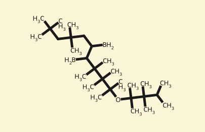 BC(CC(C)(C)CC(C)(C)C)C(B)C(C)(C)C(C)(C)C(C)(C)OC(C)(C)C(C)(C)C(C)C